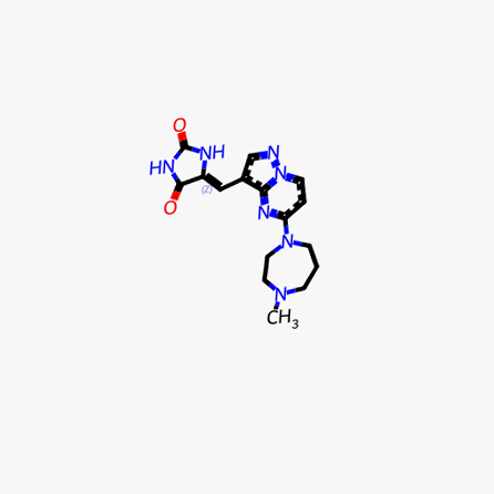 CN1CCCN(c2ccn3ncc(/C=C4\NC(=O)NC4=O)c3n2)CC1